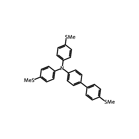 CSc1ccc(-c2ccc(N(c3ccc(SC)cc3)c3ccc(SC)cc3)cc2)cc1